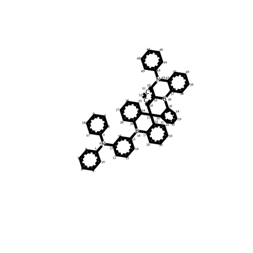 c1ccc(N(c2ccccc2)c2cccc(B3c4ccccc4C4(c5ccccc53)c3ccccc3B3c5ccccc5N(c5ccccc5)c5cccc4c53)c2)cc1